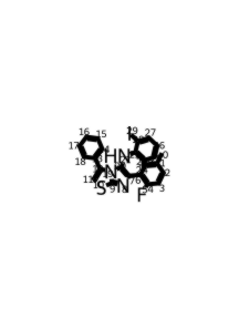 Cc1ccc(F)c(-c2nc3scc(-c4ccccc4)n3c2Nc2c(C)cccc2I)c1